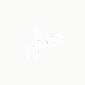 C[C@H]1CC=CC1(C)NC(=O)C1CC(O)CN1C(=O)CC(C)(C)C